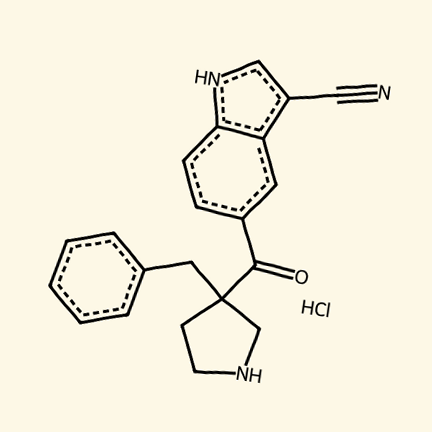 Cl.N#Cc1c[nH]c2ccc(C(=O)C3(Cc4ccccc4)CCNC3)cc12